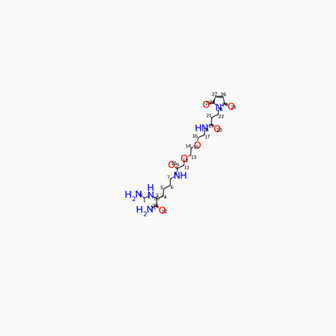 NCN[C@@H](CCCCNC(=O)COCCOCCNC(=O)CCN1C(=O)C=CC1=O)C(N)=O